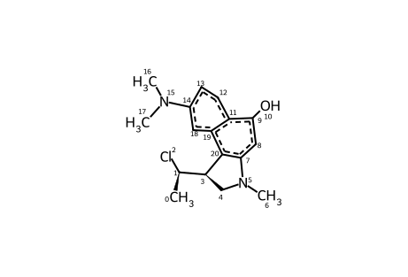 C[C@@H](Cl)[C@@H]1CN(C)c2cc(O)c3ccc(N(C)C)cc3c21